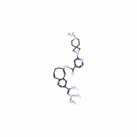 CN(N)/C=C(\N)c1ccc2c(c1)/C=C(/NC(=O)c1ccnc(N3CC4(CCN(C)CC4)C3)c1)CC/C=C\2